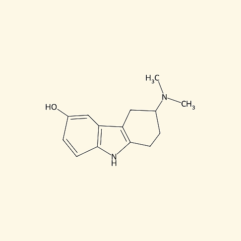 CN(C)C1CCc2[nH]c3ccc(O)cc3c2C1